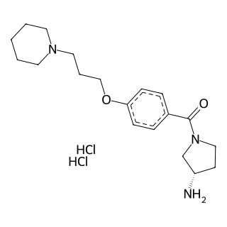 Cl.Cl.N[C@H]1CCN(C(=O)c2ccc(OCCCN3CCCCC3)cc2)C1